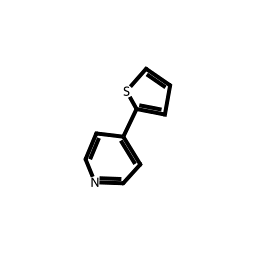 c1csc(-c2ccncc2)c1